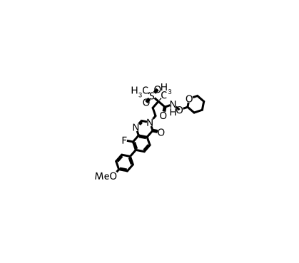 COc1ccc(-c2ccc3c(=O)n(CC[C@](C)(C(=O)NOC4CCCCO4)S(C)(=O)=O)cnc3c2F)cc1